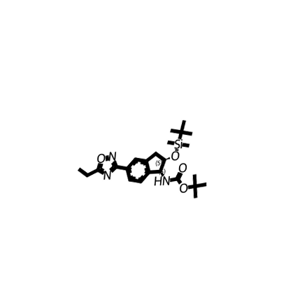 CCc1nc(-c2ccc3c(c2)C[C@H](O[Si](C)(C)C(C)(C)C)[C@H]3NC(=O)OC(C)(C)C)no1